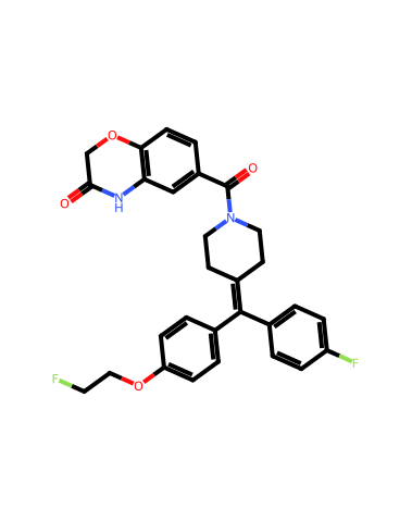 O=C1COc2ccc(C(=O)N3CCC(=C(c4ccc(F)cc4)c4ccc(OCCF)cc4)CC3)cc2N1